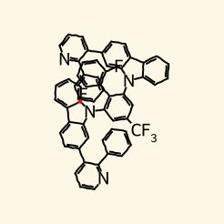 Fc1cccc(F)c1-c1c(-n2c3ccccc3c3ccc(-c4cccnc4-c4ccccc4)cc32)cc(C(F)(F)F)cc1-n1c2ccccc2c2ccc(-c3cccnc3-c3ccccc3)cc21